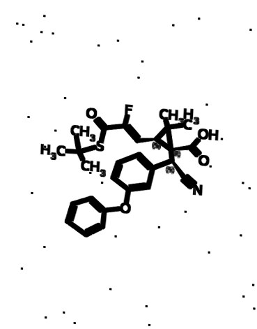 CC(C)(C)SC(=O)C(F)=C[C@H]1C(C)(C)[C@]1(C(=O)O)[C@@H](C#N)c1cccc(Oc2ccccc2)c1